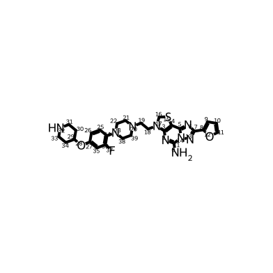 Nc1nc2c(c3nc(-c4ccco4)nn13)SCN2CCN1CCN(c2ccc(OC3CCNCC3)cc2F)CC1